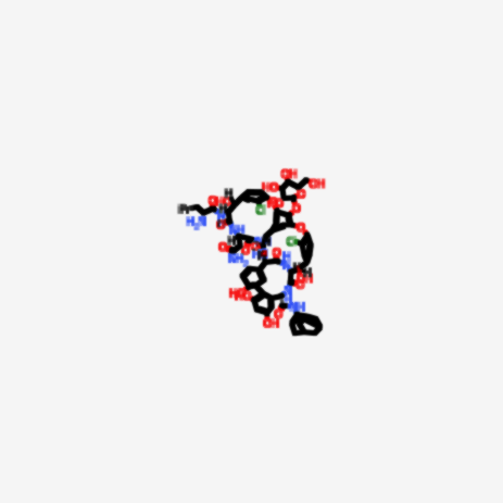 CC(C)C[C@@H](N)C(=O)N[C@H]1C(=O)N[C@@H](CC(N)=O)C(=O)N[C@H]2C(=O)N[C@H]3C(=O)N[C@H](C(=O)N[C@H](C(=O)NC4C5CC6CC(C5)CC4C6)c4cc(O)cc(O)c4-c4cc3ccc4O)[C@H](O)c3ccc(c(Cl)c3)Oc3cc2cc(c3OC2OC(CO)C(O)C(O)C2O)Oc2ccc(cc2Cl)[C@H]1O